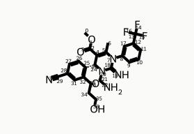 COC(=O)C1=C(C)N(c2cccc(C(F)(F)F)c2)C(=N)N(C(N)=O)[C@@H]1c1ccc(C#N)cc1CCCO